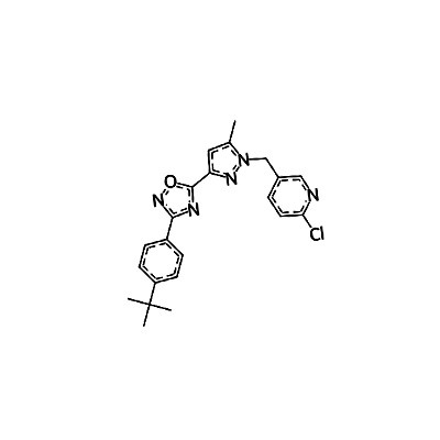 Cc1cc(-c2nc(-c3ccc(C(C)(C)C)cc3)no2)nn1Cc1ccc(Cl)nc1